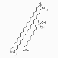 CC(C)(C)CCCCCCCCCCCCCCCCCN.CC(C)(C)CCCCCCCCCCCCCCCCCN.CCCCCCCCCCCCCCCCCCOP(=O)(O)O